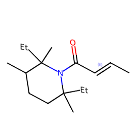 C/C=C/C(=O)N1C(C)(CC)CCC(C)C1(C)CC